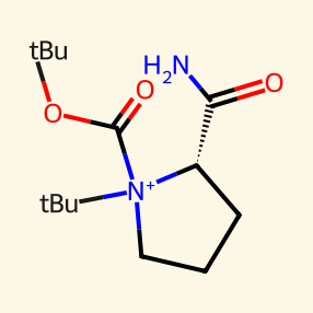 CC(C)(C)OC(=O)[N+]1(C(C)(C)C)CCC[C@H]1C(N)=O